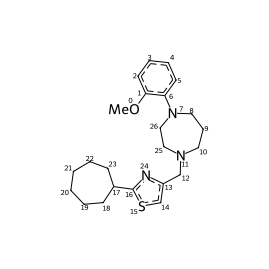 COc1ccccc1N1CCCN(Cc2csc(C3CCCCCC3)n2)CC1